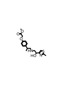 COC(=O)COc1ccc(C(C)CNCC(O)c2csc(C)n2)cc1